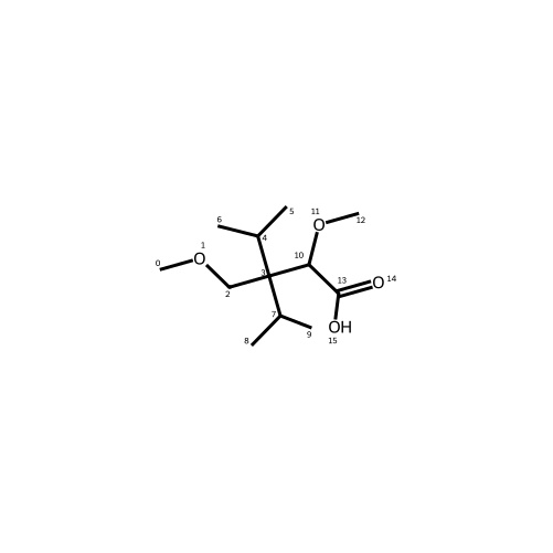 COCC(C(C)C)(C(C)C)C(OC)C(=O)O